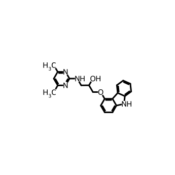 Cc1cc(C)nc(NCC(O)COc2cccc3[nH]c4ccccc4c23)n1